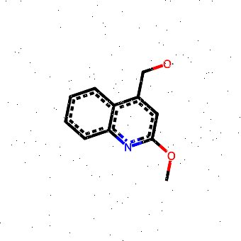 COc1cc(C[O])c2ccccc2n1